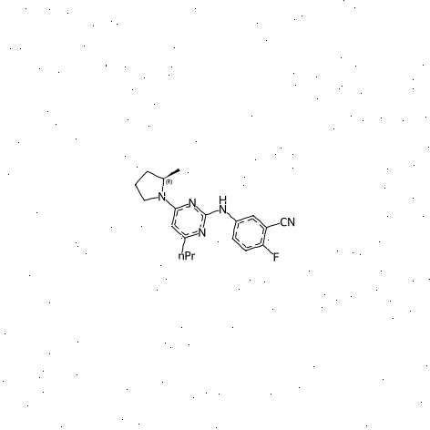 CCCc1cc(N2CCC[C@H]2C)nc(Nc2ccc(F)c(C#N)c2)n1